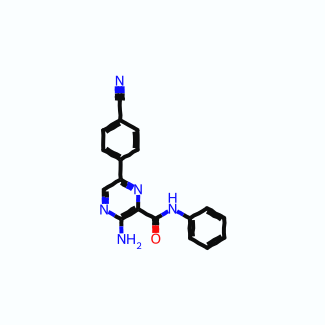 N#Cc1ccc(-c2cnc(N)c(C(=O)Nc3ccccc3)n2)cc1